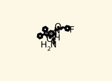 CN1[C@H](CNC(=O)C=Cc2ccc(F)cc2)CCN(CC(c2ccccc2)c2ccccc2)C(=O)[C@@H]1CCCN